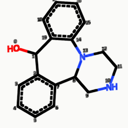 OC1c2ccccc2C2CNCCN2c2ccccc21